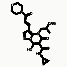 COC(C)Cn1c(=O)c(C(=O)NC2CC2)c(O)n2ncc(C=CC(=O)N3CCOCC3)c12